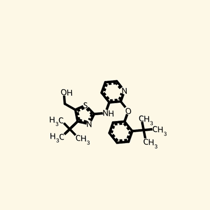 CC(C)(C)c1ccccc1Oc1ncccc1Nc1nc(C(C)(C)C)c(CO)s1